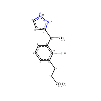 CCOC(=O)CCc1cccc(C(C)c2cc[nH]n2)c1F